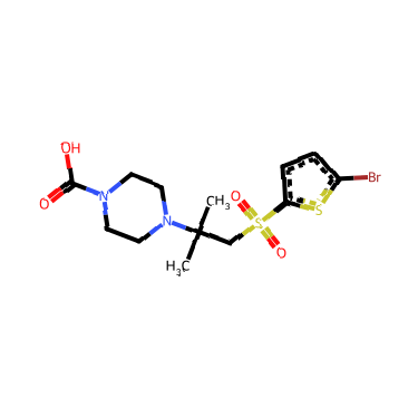 CC(C)(CS(=O)(=O)c1ccc(Br)s1)N1CCN(C(=O)O)CC1